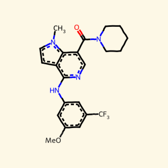 COc1cc(Nc2ncc(C(=O)N3CCCCC3)c3c2ccn3C)cc(C(F)(F)F)c1